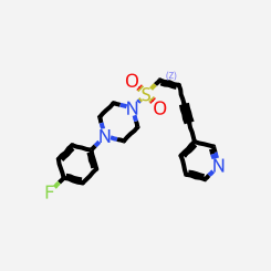 O=S(=O)(/C=C\C#Cc1cccnc1)N1CCN(c2ccc(F)cc2)CC1